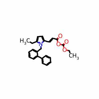 CCOC(=O)OC(=O)/C=C/c1ccc(CC)n1Cc1ccccc1-c1ccccc1